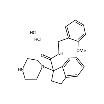 COc1ccccc1CNC(=O)C1(N2CCNCC2)CCc2ccccc21.Cl.Cl